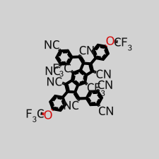 N#CC1=C(c2ccc(OC(F)(F)F)cc2)/C(=C(\C#N)c2cc(C#N)cc(C#N)c2)c2c1c(C(F)(F)F)c1c(c2C(F)(F)F)C(C#N)=C(c2ccc(OC(F)(F)F)cc2)/C1=C(\C#N)c1cc(C#N)cc(C#N)c1